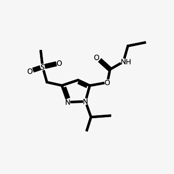 CCNC(=O)Oc1cc(CS(C)(=O)=O)nn1C(C)C